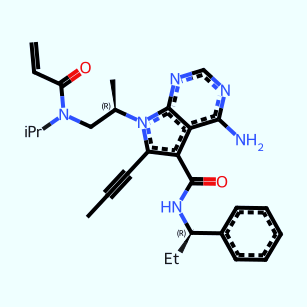 C=CC(=O)N(C[C@@H](C)n1c(C#CC)c(C(=O)N[C@H](CC)c2ccccc2)c2c(N)ncnc21)C(C)C